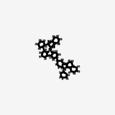 c1ccc(-n2c3ccc(-c4ccc5c(c4)c4cccc6c4n5-c4nc5ccccc5nc4-c4ccccc4-6)cc3c3ccc4ccccc4c32)cc1